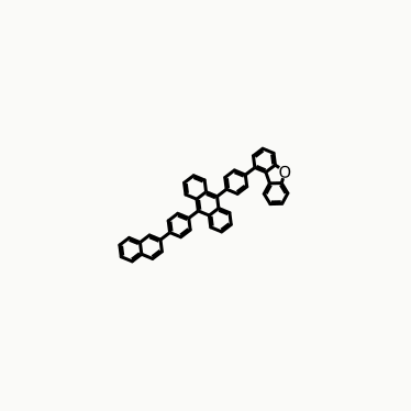 c1ccc2cc(-c3ccc(-c4c5ccccc5c(-c5ccc(-c6cccc7oc8ccccc8c67)cc5)c5ccccc45)cc3)ccc2c1